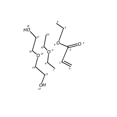 C=CC(=O)OCC.CCOCC.OCCOCCO